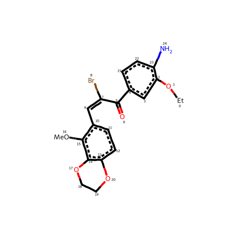 CCOc1cc(C(=O)/C(Br)=C\c2ccc3c(c2OC)OCCO3)ccc1N